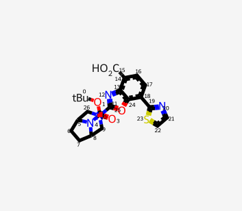 CC(C)(C)OC(=O)N1C2CCC1CN(c1nc3c(C(=O)O)ccc(-c4nccs4)c3o1)C2